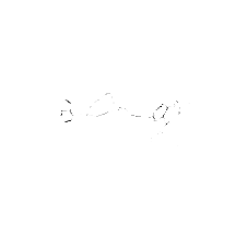 CN(C)C(=O)c1cc(OCCCN2CCN(c3cccc4sccc34)CC2)ccc1N(C)C=O